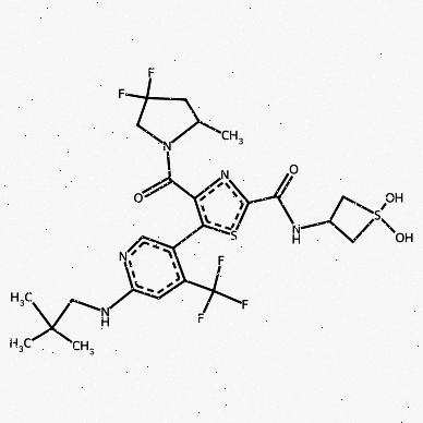 CC1CC(F)(F)CN1C(=O)c1nc(C(=O)NC2CS(O)(O)C2)sc1-c1cnc(NCC(C)(C)C)cc1C(F)(F)F